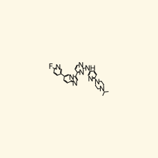 CC(C)N1CCN(c2ccc(Nc3nccc(-c4cnc5ccc(-c6ccc(F)nc6)cn45)n3)cn2)CC1